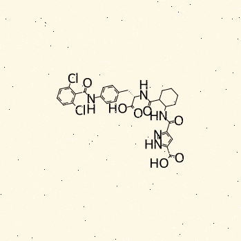 O=C(NC1CCCCC1C(=O)N[C@@H](Cc1ccc(NC(=O)c2c(Cl)cccc2Cl)cc1)C(=O)O)c1cc(C(=O)O)[nH]n1